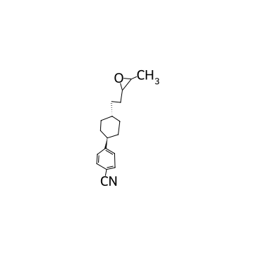 CC1OC1CC[C@H]1CC[C@H](c2ccc(C#N)cc2)CC1